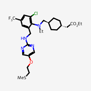 CCOC(=O)C[C@H]1CC[C@H](CN(CC)c2c(Cl)cc(C(F)(F)F)cc2CNc2ncc(OCCSC)cn2)CC1